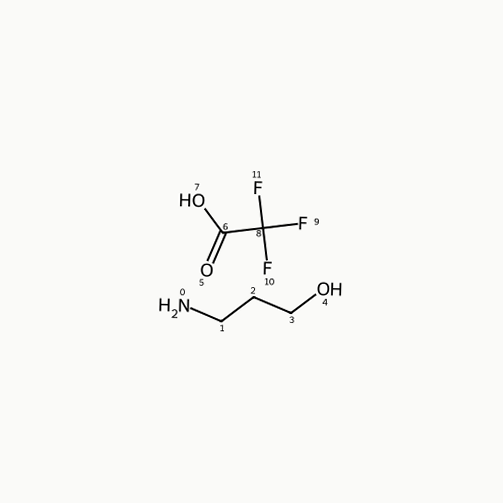 NCCCO.O=C(O)C(F)(F)F